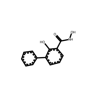 O=C(NO)c1cccc(-c2ccccc2)c1O